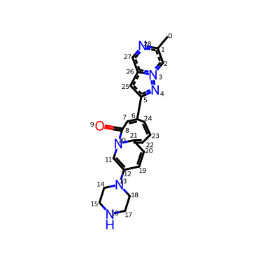 Cc1cn2nc(C3=C\C(=O)N4C=C(N5CCNCC5)C=C\C4=C/C=C/3)cc2cn1